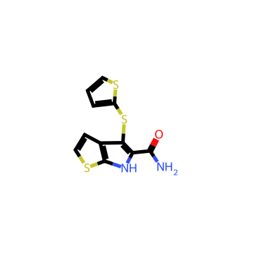 NC(=O)c1[nH]c2sccc2c1Sc1cccs1